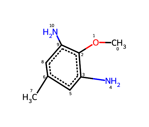 COc1c(N)cc(C)cc1N